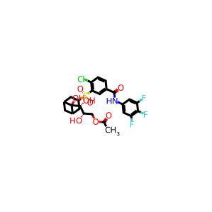 CC(=O)OC[C@H](O)[C@@H](O)C1(O)C2CC1CC(S(=O)(=O)c1cc(C(=O)Nc3cc(F)c(F)c(F)c3)ccc1Cl)C2